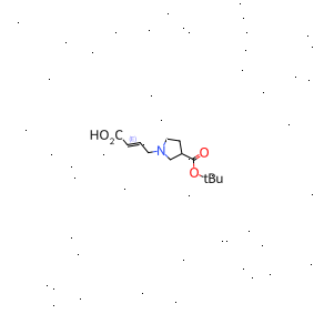 CC(C)(C)OC(=O)C1CCN(C/C=C/C(=O)O)C1